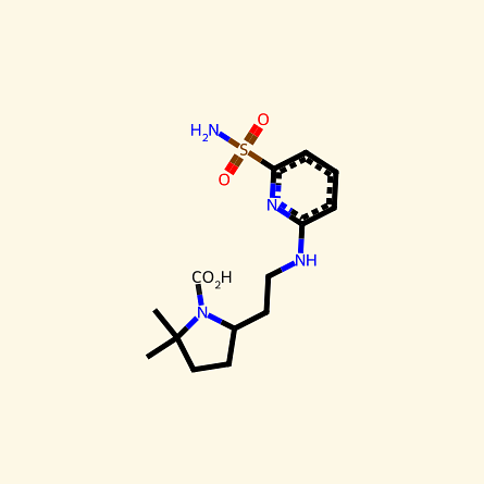 CC1(C)CCC(CCNc2cccc(S(N)(=O)=O)n2)N1C(=O)O